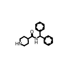 O=C(NC(c1ccccc1)c1ccccc1)C1CCNCC1